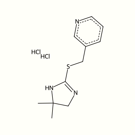 CC1(C)CN=C(SCc2cccnc2)N1.Cl.Cl